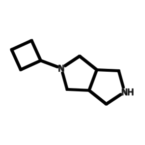 C1CC(N2CC3CNCC3C2)C1